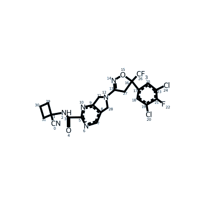 N#CC1(NC(=O)c2ncc3c(n2)CN(C2=NOC(c4cc(Cl)c(F)c(Cl)c4)(C(F)(F)F)C2)C3)CCC1